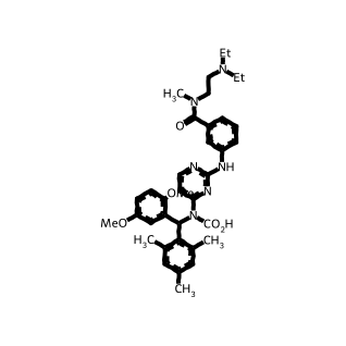 CCN(CC)CCN(C)C(=O)c1cccc(Nc2nccc(N(C(=O)O)C(c3cc(OC)ccc3OC)c3c(C)cc(C)cc3C)n2)c1